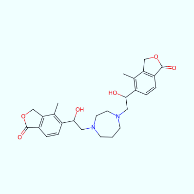 Cc1c(C(O)CN2CCCN(CC(O)c3ccc4c(c3C)COC4=O)CC2)ccc2c1COC2=O